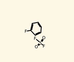 Fc1ccccc1.O=S(=O)(F)F